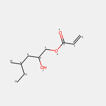 C=CC(=O)OCC(O)CC(C)CC